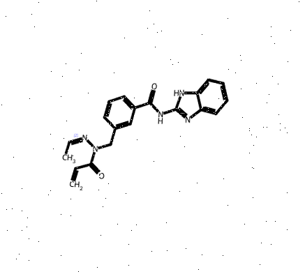 C=CC(=O)N(Cc1cccc(C(=O)Nc2nc3ccccc3[nH]2)c1)/N=C\C